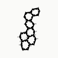 c1ccc2c(c1)ccc1cc3c(cc4ccc5cccc6ccc3c4c56)cc12